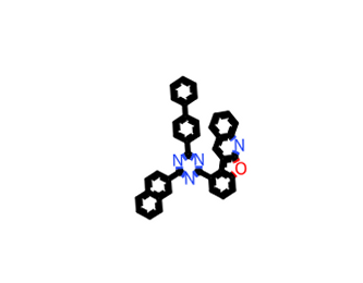 c1ccc(-c2ccc(-c3nc(-c4ccc5ccccc5c4)nc(-c4cccc5oc6nc7ccccc7cc6c45)n3)cc2)cc1